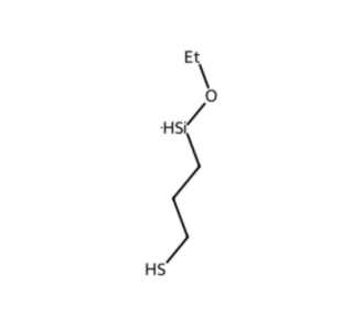 CCO[SiH]CCCS